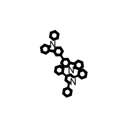 c1ccc(-c2cc(-c3ccccc3)c(-n3c4ccccc4c4cc(-c5ccc6c(c5)c5ccccc5n6-c5ccccc5)ccc43)c(-c3ccccc3)n2)cc1